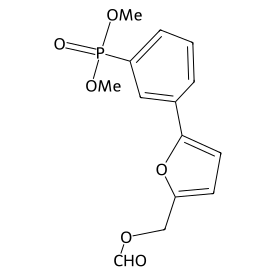 COP(=O)(OC)c1cccc(-c2ccc(COC=O)o2)c1